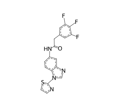 O=C(Cc1cc(F)c(F)c(F)c1)Nc1ccc2c(c1)ncn2-c1nccs1